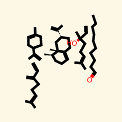 C=C(C)C1CC=C(C)CC1.C=C(C)[C@@H]1CCC2=CCC[C@@H](C)[C@]2(C)C1.C=CC(=C)CCC=C(C)C.C=CC(C)(O)CCC=C(C)C.CCCCCCCCCC=O